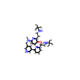 CN(Cc1cncc(-c2cccc([C@H](O)CNC(C)(C)C)n2)c1)c1cccc(CCNC(C)(C)C)n1